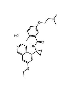 CCSc1cc(C2(NC(=O)c3cc(OCCN(C)C)ccc3C)CC2)c2ccccc2c1.Cl